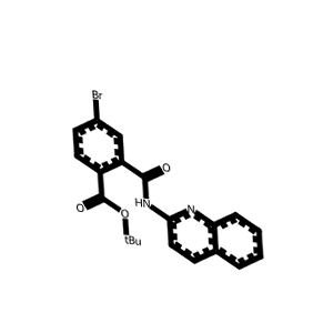 CC(C)(C)OC(=O)c1ccc(Br)cc1C(=O)Nc1ccc2ccccc2n1